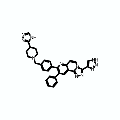 c1ccc(-c2cc3c(ccn4c(-c5c[nH]nn5)nnc34)nc2-c2ccc(CN3CCC(c4nnc[nH]4)CC3)cc2)cc1